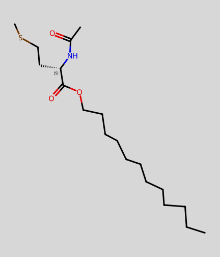 CCCCCCCCCCCCOC(=O)[C@H](CCSC)NC(C)=O